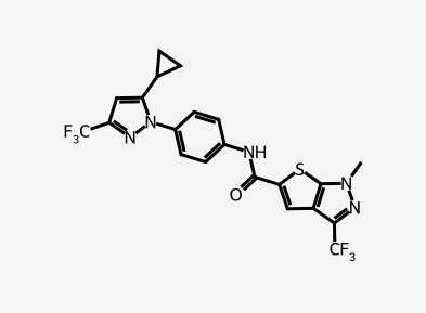 Cn1nc(C(F)(F)F)c2cc(C(=O)Nc3ccc(-n4nc(C(F)(F)F)cc4C4CC4)cc3)sc21